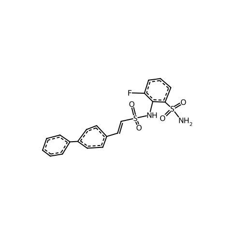 NS(=O)(=O)c1cccc(F)c1NS(=O)(=O)C=Cc1ccc(-c2ccccc2)cc1